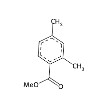 [CH2]OC(=O)c1ccc(C)cc1C